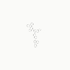 C[Si](C)(C)c1ccc2c(-c3ccc4cc(-c5ccc6c7c(cccc57)-c5ccccc5-6)ccc4c3)cc(-c3cc4c5ccccc5c5ccccc5c4c4ccccc34)cc2c1